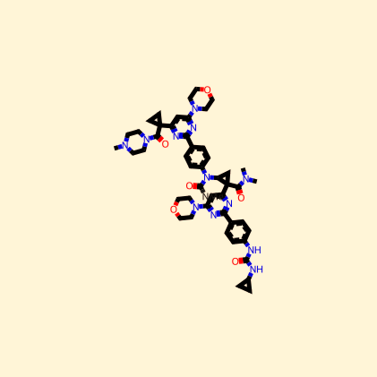 CNC(=O)N(c1ccc(-c2nc(N3CCOCC3)cc(C3(C(=O)N4CCN(C)CC4)CC3)n2)cc1)C1CC1(C(=O)N(C)C)c1cc(N2CCOCC2)nc(-c2ccc(NC(=O)NC3CC3)cc2)n1